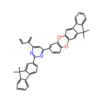 C=CC(=C)c1cc(-c2ccc3c(c2)Oc2cc4c(cc2O3)C(C)(C)c2ccccc2-4)nc(-c2ccc3c(c2)C(C)(C)c2ccccc2-3)n1